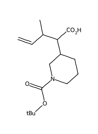 C=CC(C)C(C(=O)O)C1CCCN(C(=O)OC(C)(C)C)C1